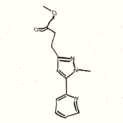 COC(=O)CCc1cc(-c2ccccn2)n(C)n1